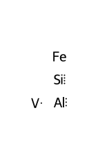 [Al].[Fe].[Si].[V]